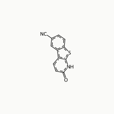 N#Cc1ccc2sc3[nH]c(=O)ccc3c2c1